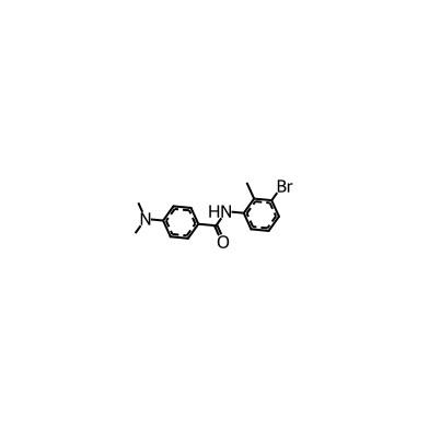 Cc1c(Br)cccc1NC(=O)c1ccc(N(C)C)cc1